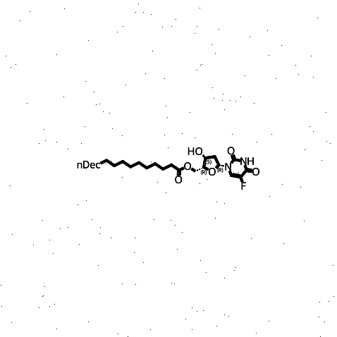 CCCCCCCCCCCCCCCCCCCC(=O)OC[C@H]1O[C@@H](n2cc(F)c(=O)[nH]c2=O)C[C@@H]1O